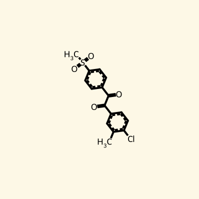 Cc1cc(C(=O)C(=O)c2ccc(S(C)(=O)=O)cc2)ccc1Cl